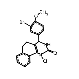 COc1ccc(C2NC(=O)N(Cl)C3=C2CCc2ccccc23)cc1Br